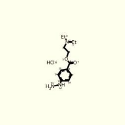 CCN(CC)CCOC(=O)c1ccc(NN)cc1.Cl